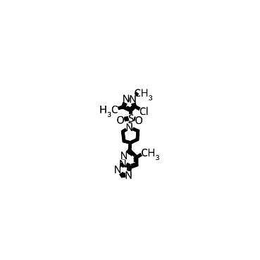 Cc1cc2ncnn2nc1C1CCN(S(=O)(=O)c2c(C)nn(C)c2Cl)CC1